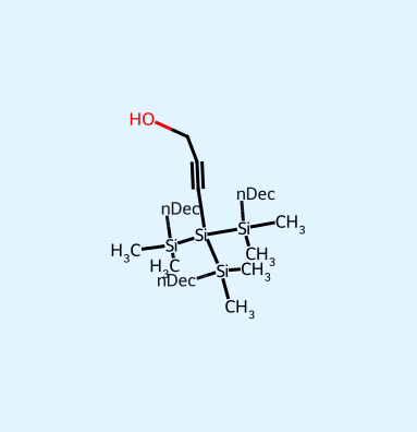 CCCCCCCCCC[Si](C)(C)[Si](C#CCO)([Si](C)(C)CCCCCCCCCC)[Si](C)(C)CCCCCCCCCC